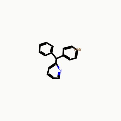 Br.c1ccc(C(c2ccccc2)c2ccccn2)cc1